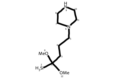 COC([SiH3])(CCCN1CCNCC1)OC